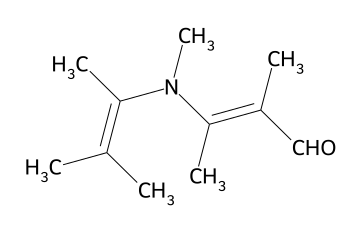 CC(C)=C(C)N(C)/C(C)=C(\C)C=O